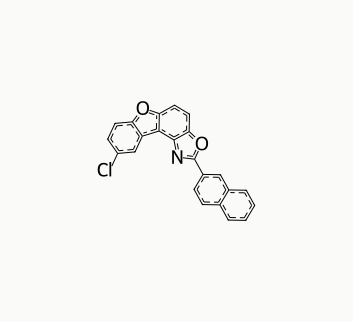 Clc1ccc2oc3ccc4oc(-c5ccc6ccccc6c5)nc4c3c2c1